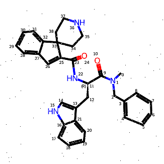 CN(Cc1ccccc1)C(=O)[C@@H](Cc1c[nH]c2ccccc12)NC(=O)C1=Cc2ccccc2C12CCNCC2